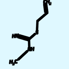 C=CCSC(=N)NC